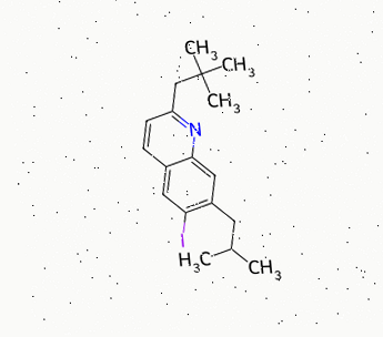 CC(C)Cc1cc2nc(CC(C)(C)C)ccc2cc1I